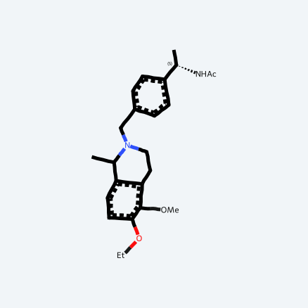 CCOc1ccc2c(c1OC)CCN(Cc1ccc([C@H](C)NC(C)=O)cc1)C2C